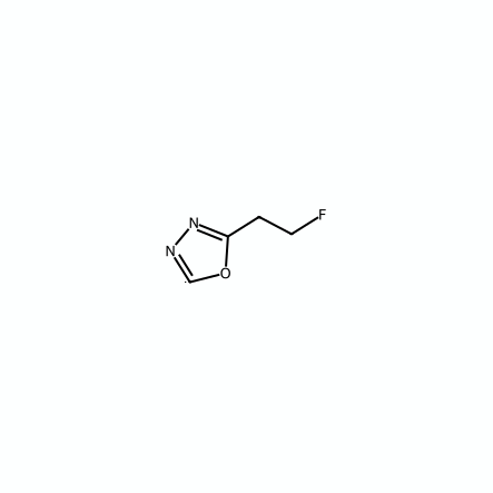 FCCc1nn[c]o1